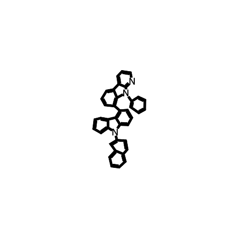 c1ccc(-n2c3ncccc3c3cccc(-c4cccc5c4c4ccccc4n5-c4ccc5ccccc5c4)c32)cc1